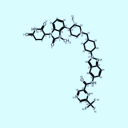 Cn1c(=O)n(C2CCC(=O)NC2=O)c2cccc([C@@H]3CCN(CC4CCC(n5cc6cc(NC(=O)c7cncc(C(F)(F)F)n7)ccc6n5)CC4)C[C@H]3F)c21